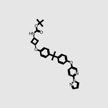 CC(C)(C)OC(=O)N[C@H]1C[C@@H](Oc2ccc(C(C)(C)c3ccc(Oc4ccc(-n5cccn5)nc4)cc3)cc2)C1